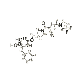 CC(C)(C=C(C#N)C(=O)N1CC[C@H](COC(=O)NC(Cc2ccccc2)B(O)O)C1)N1CCC(F)(F)C1